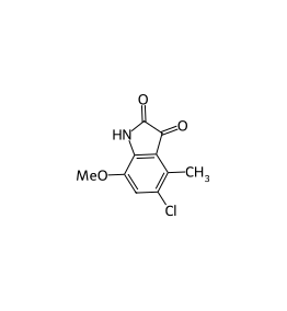 COc1cc(Cl)c(C)c2c1NC(=O)C2=O